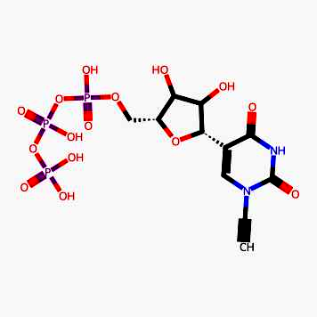 C#Cn1cc([C@@H]2O[C@H](COP(=O)(O)OP(=O)(O)OP(=O)(O)O)C(O)C2O)c(=O)[nH]c1=O